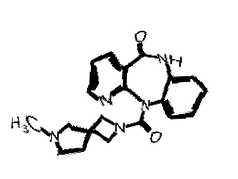 CN1CCC2(C1)CN(C(=O)N1c3ccccc3NC(=O)c3cccnc31)C2